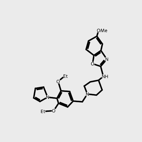 CCOc1cc(CN2CCC(Nc3nc4cc(OC)ccc4o3)CC2)cc(OCC)c1-n1cccc1